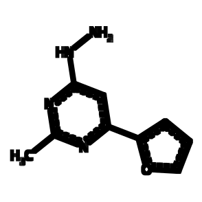 Cc1nc(NN)cc(-c2ccco2)n1